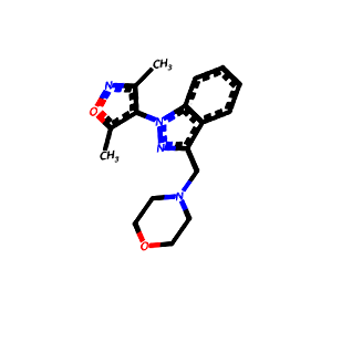 Cc1noc(C)c1-n1nc(CN2CCOCC2)c2ccccc21